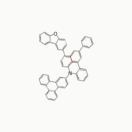 c1ccc(-c2cccc(-c3ccccc3N(c3ccc(-c4ccc5oc6ccccc6c5c4)cc3)c3ccc4c5ccccc5c5ccccc5c4c3)c2)cc1